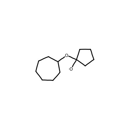 [O]C1(OC2CCCCCC2)CCCC1